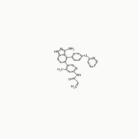 C=CC(=O)Nc1cc(C)c(-c2ccc3[nH]nc(N)c3c2-c2ccc(Oc3ccccn3)cc2)cn1